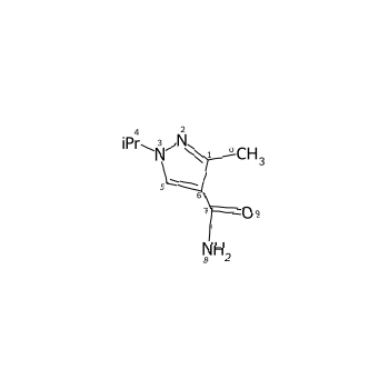 Cc1nn(C(C)C)cc1C(N)=O